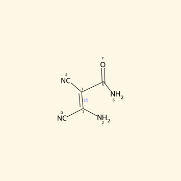 N#C/C(N)=C(\C#N)C(N)=O